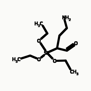 CCO[Si](OCC)(OCC)C(C=O)CCN